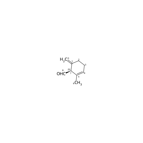 C=C1CCC=C(C)[C@H]1C=O